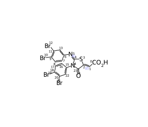 O=C(O)/C=C1\S/C(=N/c2ccc(Br)c(Br)c2)N(c2ccc(Br)c(Br)c2)C1=O